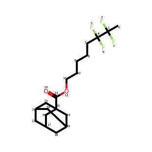 CC(F)(F)C(F)(F)CCCCCOC(=O)C12CC3CC(CC(C3)C1)C2